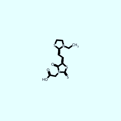 CCN1CCS/C1=C/C=C1/SC(=S)N(CC(=O)O)C1=O